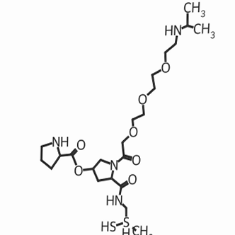 CC(C)NCCOCCOCCOCC(=O)N1CC(OC(=O)C2CCCN2)CC1C(=O)NC[SH](C)S